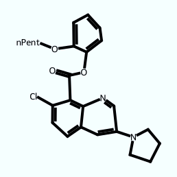 CCCCCOc1ccccc1OC(=O)c1c(Cl)ccc2cc(N3CCCC3)cnc12